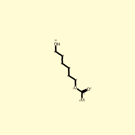 CCC(=O)OCCCCCCO